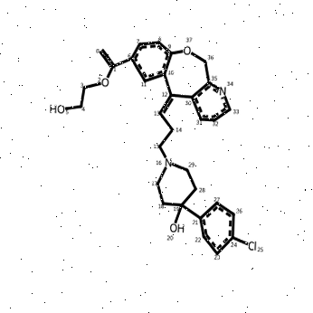 C=C(OCCO)c1ccc2c(c1)/C(=C/CCN1CCC(O)(c3ccc(Cl)cc3)CC1)c1cccnc1CO2